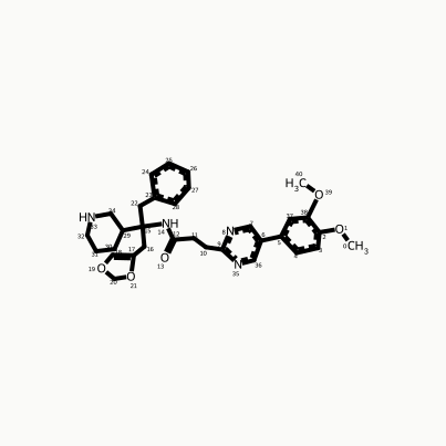 COc1ccc(-c2cnc(CCC(=O)NC(CC3=COCO3)(Cc3ccccc3)C3CCCNC3)nc2)cc1OC